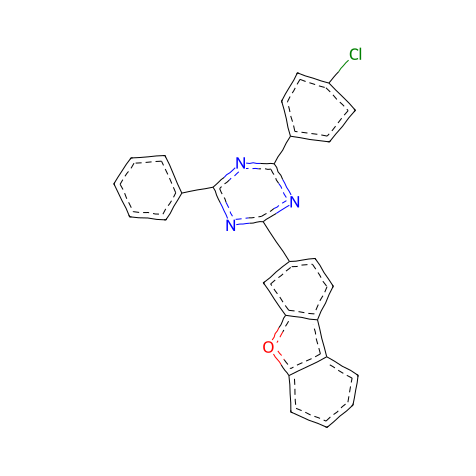 Clc1ccc(-c2nc(-c3ccccc3)nc(-c3ccc4c(c3)oc3ccccc34)n2)cc1